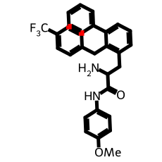 COc1ccc(NC(=O)C(N)Cc2cccc(-c3ccccc3)c2Cc2ccc(C(F)(F)F)cc2)cc1